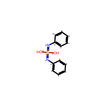 OS(O)(=Nc1ccccc1)=Nc1ccccc1